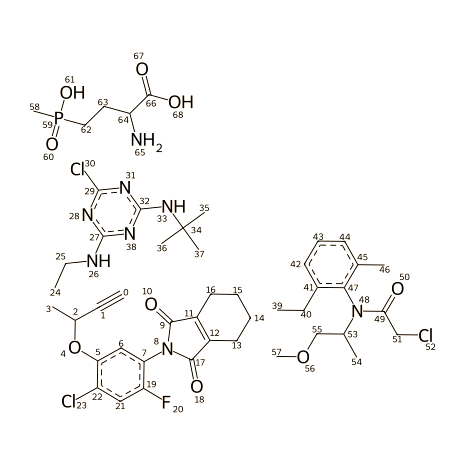 C#CC(C)Oc1cc(N2C(=O)C3=C(CCCC3)C2=O)c(F)cc1Cl.CCNc1nc(Cl)nc(NC(C)(C)C)n1.CCc1cccc(C)c1N(C(=O)CCl)C(C)COC.CP(=O)(O)CCC(N)C(=O)O